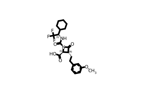 COc1cccc(CC[C@H]2C(=O)N(C(=O)N[C@@H](C3CCCCC3)C(F)(F)F)[C@@H]2C(=O)O)c1